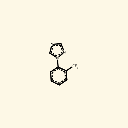 FC(F)(F)c1ccccc1-n1cncn1